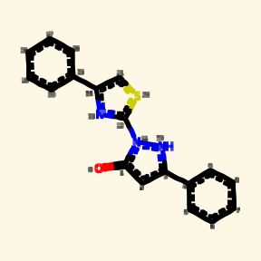 O=c1cc(-c2ccccc2)[nH]n1-c1nc(-c2ccccc2)cs1